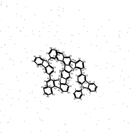 c1ccc(-n2c3ccccc3c3cc(-c4cccc5c6cc7ccccc7c7c8nc9c(cc8n(c45)c67)c4cccc5c6c7ccccc7cc(-c7ccc8c(c7)c7ccccc7n8-c7ccccc7)c6n9c45)ccc32)cc1